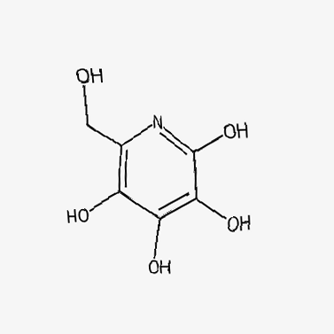 OCc1nc(O)c(O)c(O)c1O